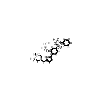 CCN(CC)Cc1ccc(-c2ccc(S(=O)(=O)N(C)c3ccccc3)cc2OC)[nH]1.Cl